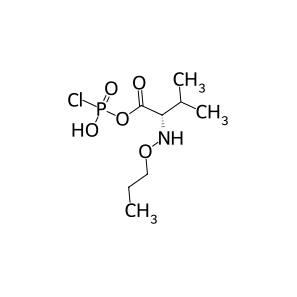 CCCON[C@H](C(=O)OP(=O)(O)Cl)C(C)C